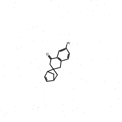 CC(C)c1ccc2c(c1)C(=O)CC1(C2)CC2C=CC1C2